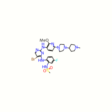 COc1nc(N2CCN(C3CCN(C)CC3)CC2)ccc1Nc1ncc(Br)c(Nc2ccc(F)cc2NS(C)(=O)=O)n1